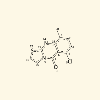 Cc1ccc(Cl)c2c(=O)n3ccsc3nc12